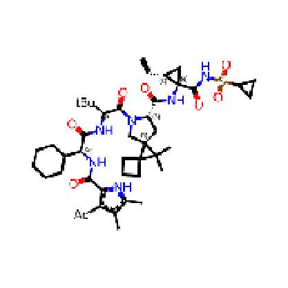 C=C[C@@H]1C[C@]1(NC(=O)[C@@H]1C[C@@]2(CN1C(=O)[C@@H](NC(=O)[C@@H](NC(=O)c1[nH]c(C)c(C)c1C(C)=O)C1CCCCC1)C(C)(C)C)C(C)(C)C21CCC1)C(=O)NS(=O)(=O)C1CC1